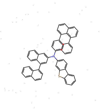 c1ccc(-c2cccc3cccc(-c4ccc(N(c5cc(-c6cccc7ccccc67)c6ccccc6c5)c5ccc6c(c5)sc5ccccc56)cc4)c23)cc1